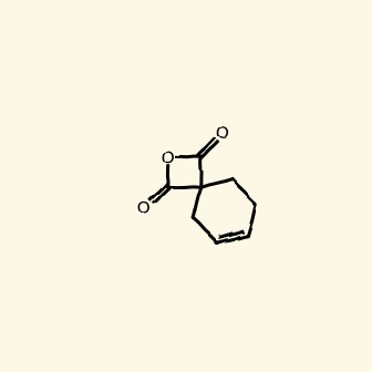 O=C1OC(=O)C12CC=CCC2